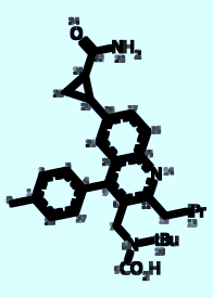 Cc1ccc(-c2c(CN(C(=O)O)C(C)(C)C)c(CC(C)C)nc3ccc(C4CC4C(N)=O)cc23)cc1